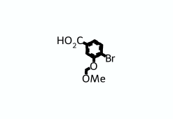 COCOc1cc(C(=O)O)ccc1Br